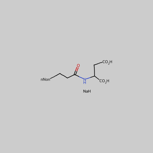 CCCCCCCCCCCC(=O)NC(CC(=O)O)C(=O)O.[NaH]